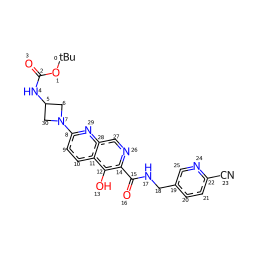 CC(C)(C)OC(=O)NC1CN(c2ccc3c(O)c(C(=O)NCc4ccc(C#N)nc4)ncc3n2)C1